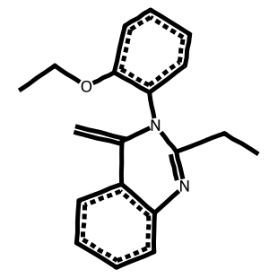 C=C1c2ccccc2N=C(CC)N1c1ccccc1OCC